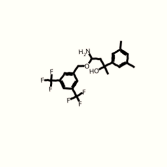 Cc1cc(C)cc(C(C)(O)CC(N)OCc2cc(C(F)(F)F)cc(C(F)(F)F)c2)c1